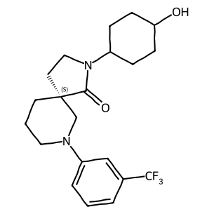 O=C1N(C2CCC(O)CC2)CC[C@]12CCCN(c1cccc(C(F)(F)F)c1)C2